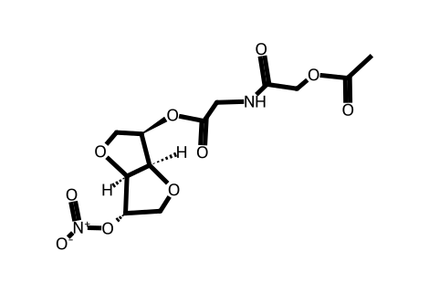 CC(=O)OCC(=O)NCC(=O)O[C@@H]1CO[C@H]2[C@@H]1OC[C@@H]2O[N+](=O)[O-]